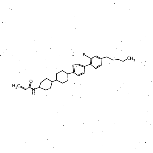 C=CC(=O)NC1CCC(C2CCC(c3ccc(-c4ccc(CCCCC)cc4F)cc3)CC2)CC1